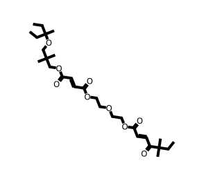 CCC(C)(CC)OCC(C)(C)COC(=O)/C=C/C(=O)OCCOCCOC(=O)/C=C/C(=O)C(C)(C)CC